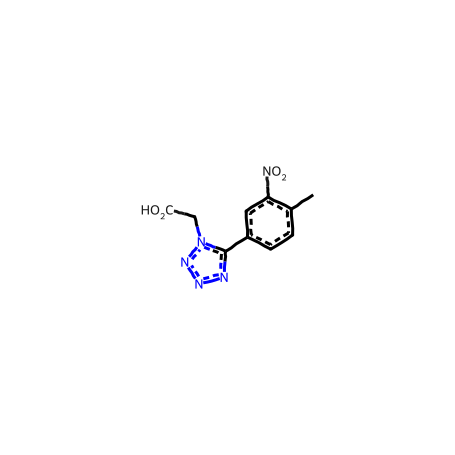 Cc1ccc(-c2nnnn2CC(=O)O)cc1[N+](=O)[O-]